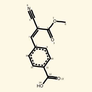 COC(=O)C(C#N)=Cc1ccc(C(=O)O)cc1